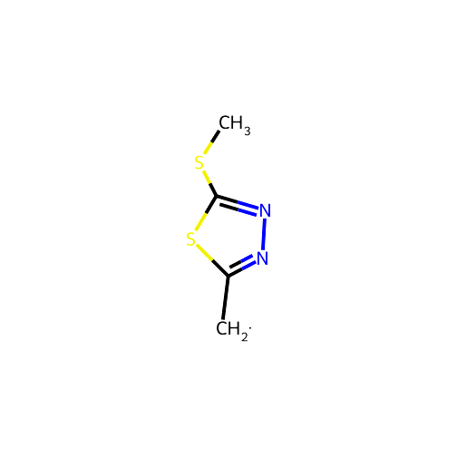 [CH2]c1nnc(SC)s1